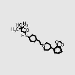 CC(C)(O)CC(=O)NC1CCC(CCN2CCC(c3cccc4c3OCO4)CC2)CC1